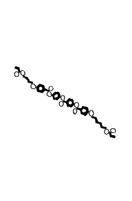 C=CC(=O)OCCCCCCOc1ccc(C(=O)Oc2ccc(C(=O)Oc3ccc(OC(=O)c4ccc(OCCCCOC(=O)C=C)cc4)cc3)cc2)cc1